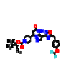 CC(C)(C)OC(=O)N1CCC(c2cc(=O)[nH]c3c(-c4noc(Cc5ccc(OC(F)F)cc5)n4)cnn23)CC1